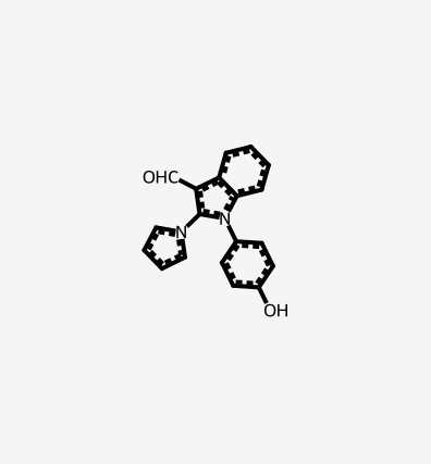 O=Cc1c(-n2cccc2)n(-c2ccc(O)cc2)c2ccccc12